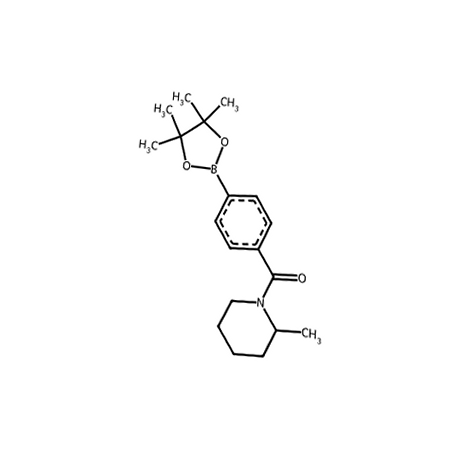 CC1CCCCN1C(=O)c1ccc(B2OC(C)(C)C(C)(C)O2)cc1